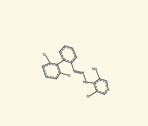 Oc1cncc(Cl)c1N/N=C/c1ccccc1-c1c(Cl)cccc1Cl